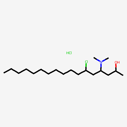 CCCCCCCCCCCC(Cl)CC(CC(C)O)N(C)C.Cl